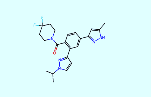 Cc1cc(-c2ccc(C(=O)N3CCC(F)(F)CC3)c(-c3ccn(C(C)C)n3)c2)n[nH]1